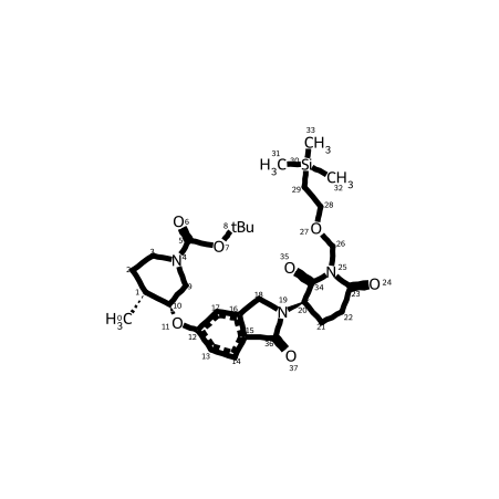 C[C@@H]1CCN(C(=O)OC(C)(C)C)C[C@@H]1Oc1ccc2c(c1)CN([C@@H]1CCC(=O)N(COCC[Si](C)(C)C)C1=O)C2=O